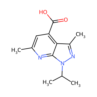 Cc1cc(C(=O)O)c2c(C)nn(C(C)C)c2n1